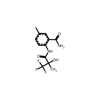 CC(O)(C(=O)Nc1ccc(I)cc1C(N)=O)C(F)(F)F